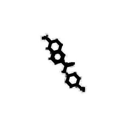 CCCC1CCc2cc(C(=O)O[C@H]3CC[C@H](C#N)CC3)ccc2C1